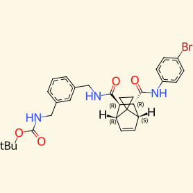 CC(C)(C)OC(=O)NCc1cccc(CNC(=O)[C@H]2[C@H](C(=O)Nc3ccc(Br)cc3)[C@@H]3C=C[C@H]2C32CC2)c1